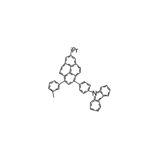 Cc1cccc(-c2cc(-c3ccc(-n4c5ccccc5c5ccccc54)cc3)c3ccc4cc(C(C)C)cc5ccc2c3c45)c1